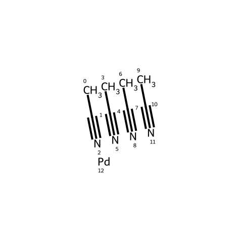 CC#N.CC#N.CC#N.CC#N.[Pd]